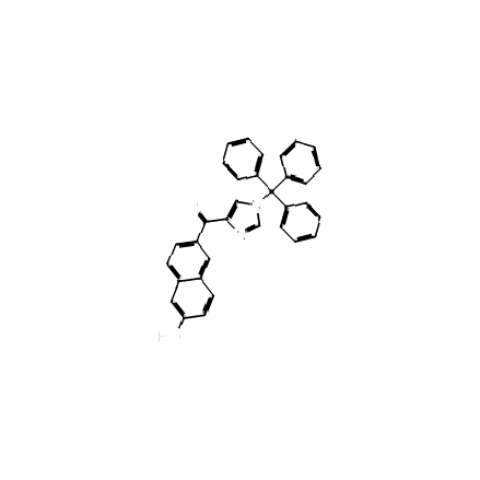 O=C(c1ccc2cc(O)ccc2c1)c1cn(C(c2ccccc2)(c2ccccc2)c2ccccc2)cn1